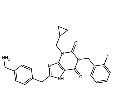 NCc1ccc(Cc2nc3c([nH]2)c(=O)n(Cc2ccccc2F)c(=O)n3CC2CC2)cc1